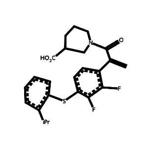 C=C(C(=O)N1CCCC(C(=O)O)C1)c1ccc(Sc2ccccc2C(C)C)c(F)c1F